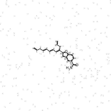 C=CCC=CC=CC=C(CC=C)c1cc2cc(C(N)=O)ccc2o1